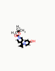 CC(C)(C)OC(=O)N1CCC(C2(N3CCC(O)CC3)CC2)CC1